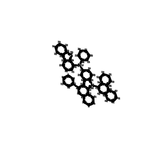 c1ccc(-c2cc3ccccc3c3c2c2cc(N(c4ccccc4)c4cccc5c4sc4ccccc45)ccc2n3-c2cc3ccccc3c3ccccc23)cc1